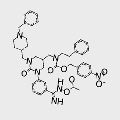 CC(=O)ONC(=N)c1cccc(N2CC(CN(CCc3ccccc3)C(=O)OCc3ccc([N+](=O)[O-])cc3)CN(CC3CCN(Cc4ccccc4)CC3)C2=O)c1